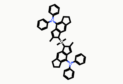 CC1=Cc2c(cc3c(c2N(c2ccccc2)c2ccccc2)CCC3)C1[Si](C)(C)C1C(C)=Cc2c1cc1c(c2N(c2ccccc2)c2ccccc2)CCC1